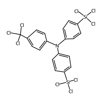 ClC(Cl)(Cl)c1ccc(N(c2ccc([Si](Cl)(Cl)Cl)cc2)c2ccc([Si](Cl)(Cl)Cl)cc2)cc1